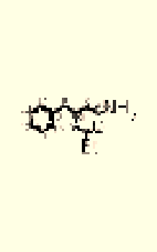 CCC(=O)C[C@@H](CCN)Cc1ccccc1